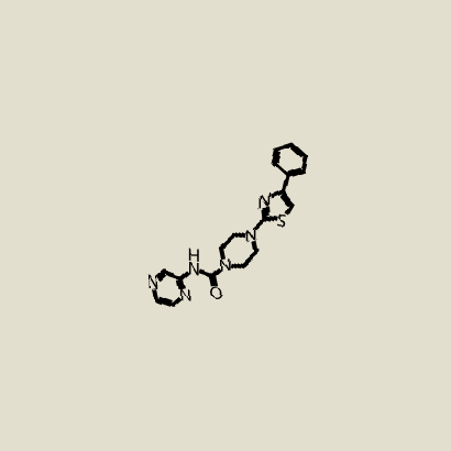 O=C(Nc1cnccn1)N1CCN(c2nc(-c3ccccc3)cs2)CC1